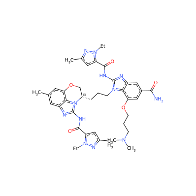 CCn1nc(C)cc1C(=O)Nc1nc2cc(C(N)=O)cc(OCCCN(C)C)c2n1CCC[C@H]1COc2cc(C)cc3nc(NC(=O)c4cc(C)nn4CC)n1c23